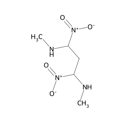 CNC(CC(NC)[N+](=O)[O-])[N+](=O)[O-]